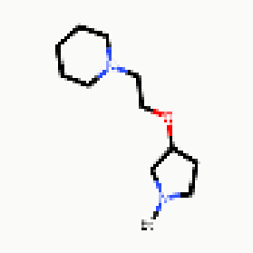 CCN1CCC(OCCN2CCCCC2)C1